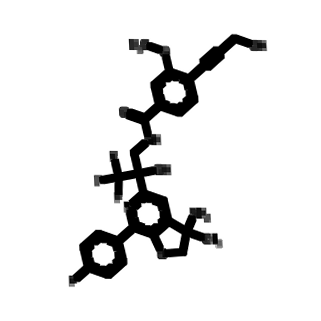 COc1cc(C(=O)NCC(O)(c2cc3c(c(-c4ccc(F)cc4)n2)OCC3(C)N)C(F)(F)F)ccc1C#CCO